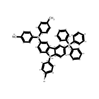 Cc1ccc(N(c2ccc(C#N)cc2)c2ccc3c(c2)c2cc([Si](c4ccccc4)(c4ccccc4)c4ccccc4)ccc2n3-c2ccc(F)cc2)cc1